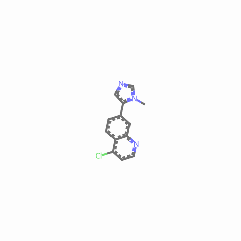 Cn1cncc1-c1ccc2c(Cl)ccnc2c1